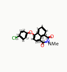 CNN1C(=O)c2cccc3c(Oc4ccc(Cl)cc4)ccc(c23)C1=O